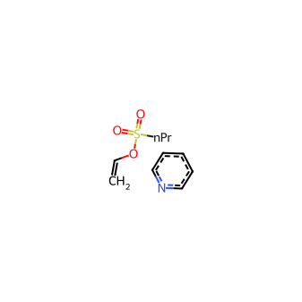 C=COS(=O)(=O)CCC.c1ccncc1